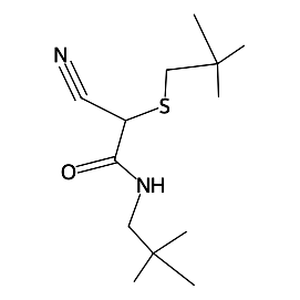 CC(C)(C)CNC(=O)C(C#N)SCC(C)(C)C